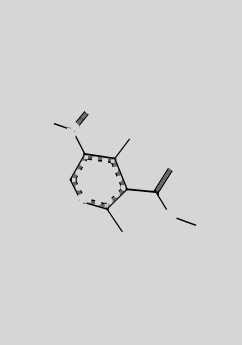 COC(=O)c1c(Cl)ncc([N+](=O)[O-])c1C